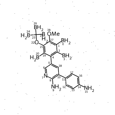 Bc1c(B)c(-c2cnc(N)c(-c3ccc(N)cc3)c2)c(B)c(OC(B)(B)B)c1OC